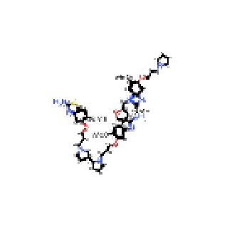 CNc1nc2cc(OCCCN3CCCC3)c(OC)cc2n1CC1CC2(CO1)C(N)=Nc1cc(OCCCN3CCCC3C3CCN(CCCOc4cc5nc(N)sc5cc4OC)C3)c(OC)cc12